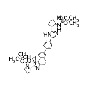 CC(C)(C)OC(=O)NC1CCCC1c1ncc(-c2ccc(-c3ccc4c(c3)CCc3nc([C@@H]5CCCN5C(=O)OC(C)(C)C)[nH]c3-4)cc2)[nH]1